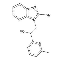 Cc1cccc(C(O)Cn2c(S)nc3ccccc32)n1